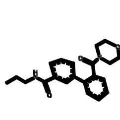 CCCNC(=O)c1cccc(-c2cc[c]cc2C(=O)N2CCOCC2)c1